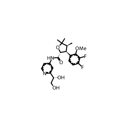 COc1c([C@H]2[C@H](C(=O)Nc3ccnc([C@H](O)CO)c3)OC(C)(C)[C@H]2C)ccc(F)c1F